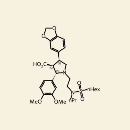 CCCCCCS(=O)(=O)N(CCC)CCN1C[C@H](c2ccc3c(c2)OCO3)[C@H](C(=O)O)[C@H]1c1ccc(OC)c(OC)c1